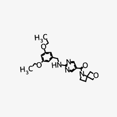 CCOc1cc(CNc2ncc(C(=O)N3CCC34COC4)cn2)cc(OCC)c1